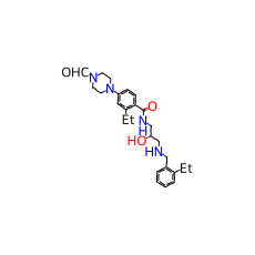 CCc1ccccc1CNCC(O)CNC(=O)c1ccc(N2CCN(C=O)CC2)cc1CC